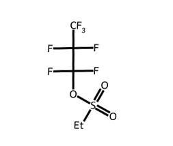 CCS(=O)(=O)OC(F)(F)C(F)(F)C(F)(F)F